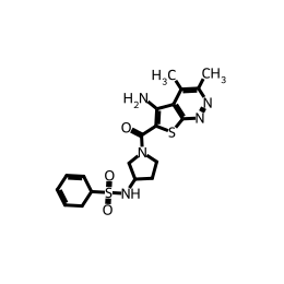 Cc1nnc2sc(C(=O)N3CCC(NS(=O)(=O)C4C=CC=CC4)C3)c(N)c2c1C